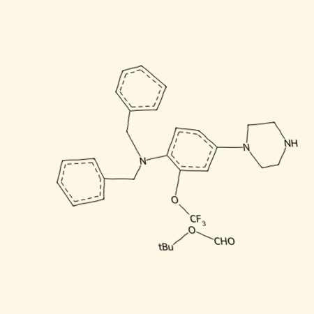 CC(C)(C)OC=O.FC(F)(F)Oc1cc(N2CCNCC2)ccc1N(Cc1ccccc1)Cc1ccccc1